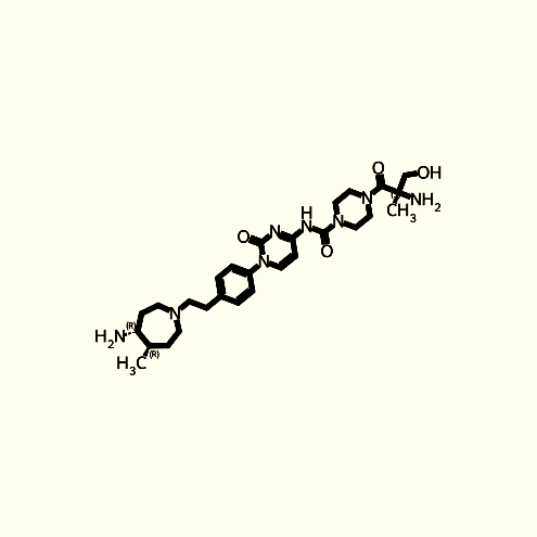 C[C@@H]1CCN(CCc2ccc(-n3ccc(NC(=O)N4CCN(C(=O)[C@@](C)(N)CO)CC4)nc3=O)cc2)CC[C@H]1N